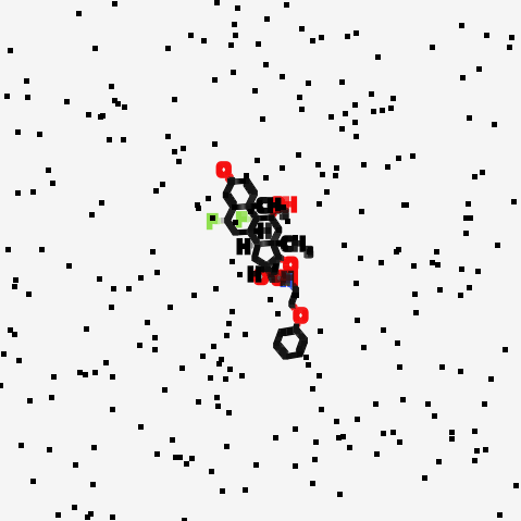 C[C@]12C=CC(=O)C=C1[C@@H](F)C[C@H]1[C@@H]3C[C@H]4CN(CCOc5ccccc5)O[C@@]4(C(=O)O)[C@@]3(C)C[C@H](O)[C@@]12F